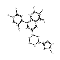 Cc1nc2c(-c3cc(F)c(F)cc3F)nc(N3CCOC(c4cnn(C)c4)C3)cc2c(=O)n1C